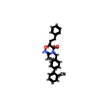 CCCCC1=NOC(CCc2ccccc2)C(=O)N1Cc1ccc(-c2ccccc2C#N)cc1